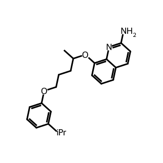 CC(CCCOc1cccc(C(C)C)c1)Oc1cccc2ccc(N)nc12